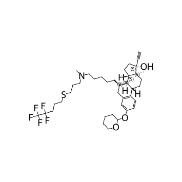 C#C[C@]1(O)CC[C@H]2[C@@H]3[C@H](CCCCCN(C)CCCSCCCC(F)(F)C(F)(F)F)Cc4cc(OC5CCCCO5)ccc4[C@H]3CC[C@@]21C